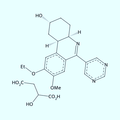 CCOc1cc2c(cc1OC)C(c1cncnc1)=N[C@@H]1CC[C@@H](O)C[C@H]21.O=C(O)CC(O)C(=O)O